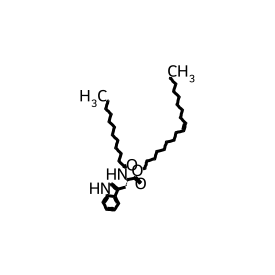 CCCCCCCC/C=C\CCCCCCCCOC(=O)[C@H](Cc1c[nH]c2ccccc12)NC(=O)CCCCCCCCCCC